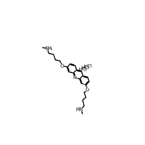 CNCCCCOc1ccc2cc3ccc(OCCCCNC)cc3nc2c1.Cl.Cl.Cl